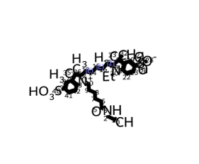 C#CCNC(=O)CCCCC[N+]1=C(/C=C/C=C/C=C2\N(CC)c3ccc(S(=O)(=O)[O-])cc3C2(C)C)C(C)(C)c2cc(S(=O)(=O)O)ccc21